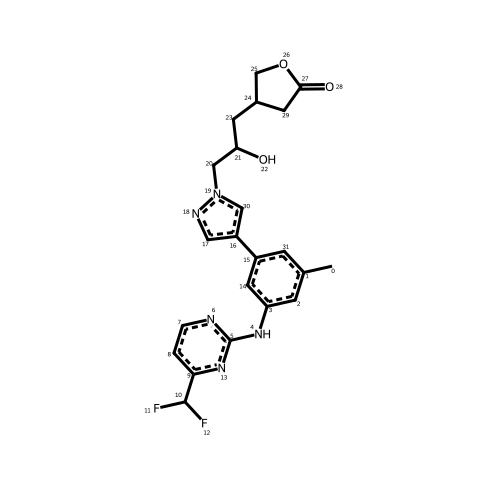 Cc1cc(Nc2nccc(C(F)F)n2)cc(-c2cnn(CC(O)CC3COC(=O)C3)c2)c1